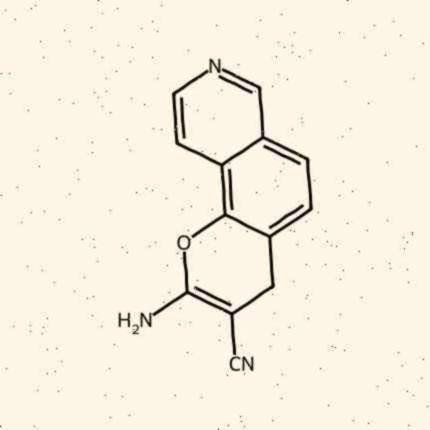 N#CC1=C(N)Oc2c(ccc3cnccc23)C1